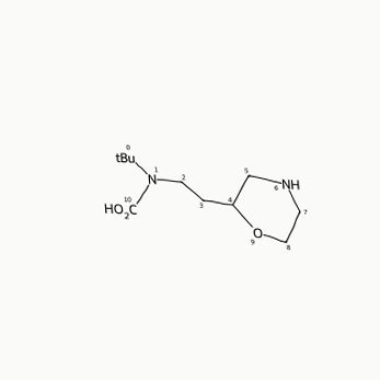 CC(C)(C)N(CCC1CNCCO1)C(=O)O